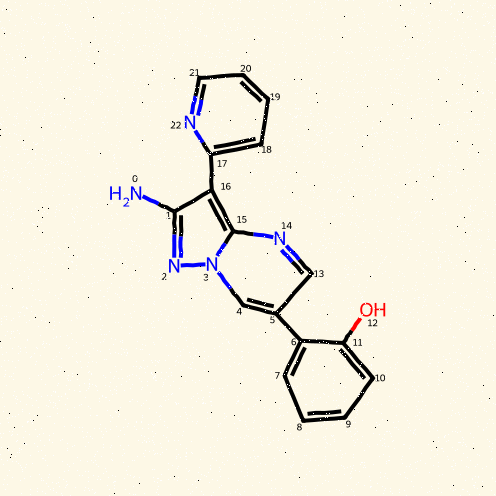 Nc1nn2cc(-c3ccccc3O)cnc2c1-c1ccccn1